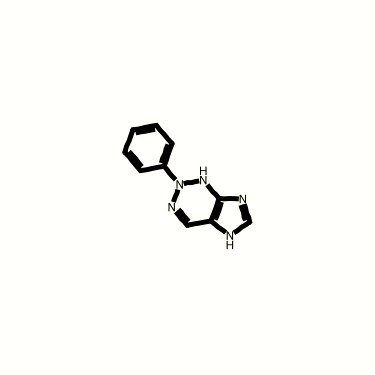 C1=NN(c2ccccc2)Nc2nc[nH]c21